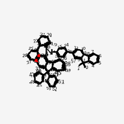 CC1(C)c2ccccc2-c2ccc(-c3ccc(N(c4ccccc4-c4ccccc4)c4cccc5c4-c4ccccc4C5(c4ccccc4)c4ccccc4)cc3)cc21